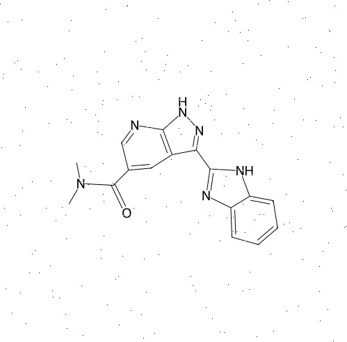 CN(C)C(=O)c1cnc2[nH]nc(-c3nc4ccccc4[nH]3)c2c1